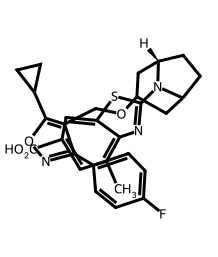 Cc1cc(C(=O)O)cc2sc(N3C4CC[C@H]3CC(OCc3c(-c5ccc(F)cc5)noc3C3CC3)C4)nc12